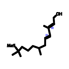 CSC(C)(C)CCCC(C)C/C=C/C(C)=C/CO